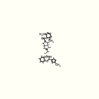 Cc1ccc(C(=O)N[C@@H](CCN2CC3CN(C(=O)c4c(C)ncnc4C)CC3C2)c2ccccn2)s1